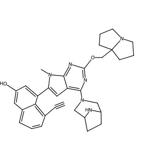 C#Cc1cccc2cc(O)cc(-c3cc4c(N5CC6CCC(C5)N6)nc(OCC56CCCN5CCC6)nc4n3C)c12